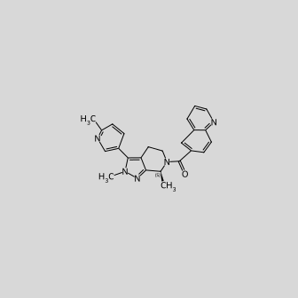 Cc1ccc(-c2c3c(nn2C)[C@H](C)N(C(=O)c2ccc4ncccc4c2)CC3)cn1